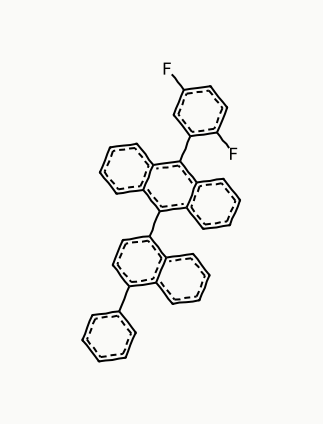 Fc1ccc(F)c(-c2c3ccccc3c(-c3ccc(-c4ccccc4)c4ccccc34)c3ccccc23)c1